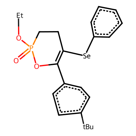 CCOP1(=O)CCC([Se]c2ccccc2)=C(c2ccc(C(C)(C)C)cc2)O1